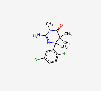 CN1C(=O)C(C)(C)C(C)(c2cc(Br)ccc2F)N=C1N